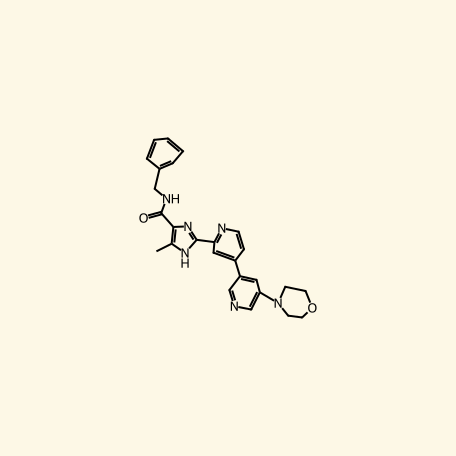 Cc1[nH]c(-c2cc(-c3cncc(N4CCOCC4)c3)ccn2)nc1C(=O)NCc1ccccc1